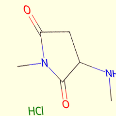 CNC1CC(=O)N(C)C1=O.Cl